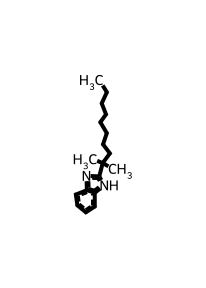 CCCCCCCCC(C)(C)c1nc2ccccc2[nH]1